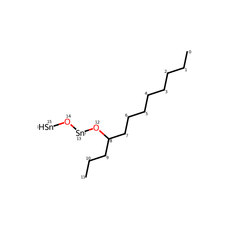 CCCCCCCCC(CCC)[O][Sn][O][SnH]